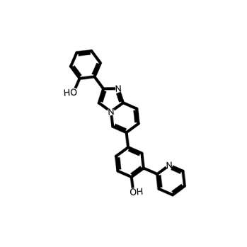 Oc1ccc(-c2ccc3nc(-c4ccccc4O)cn3c2)cc1-c1ccccn1